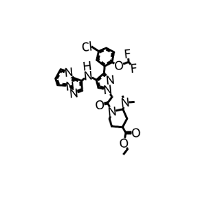 CCOC(=O)C1CCN(C(=O)Cn2cc(Nc3cnn4cccnc34)c(-c3cc(Cl)ccc3OC(F)F)n2)C(N(C)C)C1